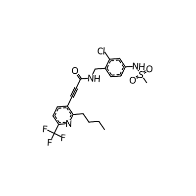 CCCCc1nc(C(F)(F)F)ccc1C#CC(=O)NCc1ccc(NS(C)(=O)=O)cc1Cl